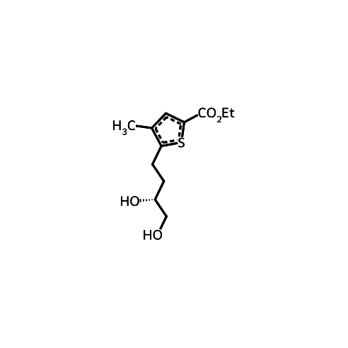 CCOC(=O)c1cc(C)c(CC[C@@H](O)CO)s1